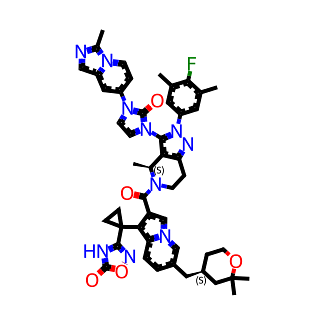 Cc1cc(-n2nc3c(c2-n2ccn(-c4ccn5c(C)ncc5c4)c2=O)[C@H](C)N(C(=O)c2cn4cc(C[C@H]5CCOC(C)(C)C5)ccc4c2C2(c4noc(=O)[nH]4)CC2)CC3)cc(C)c1F